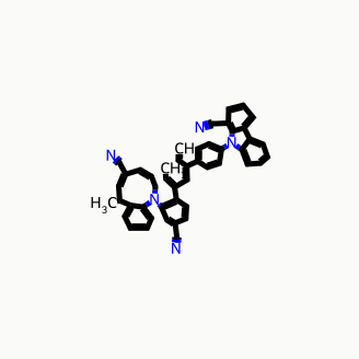 C=C/C(=C\C(=C/C)c1ccc(C#N)cc1N1C/C=C\C(C#N)=C/C(C)c2ccccc21)c1ccc(-n2c3ccccc3c3cccc(C#N)c32)cc1